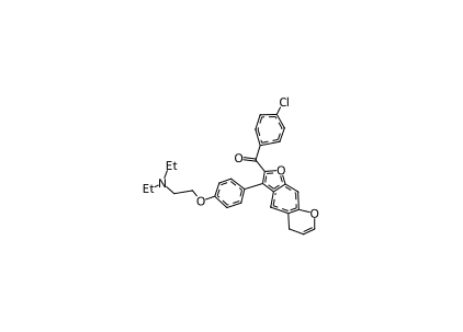 CCN(CC)CCOc1ccc(-c2c(C(=O)c3ccc(Cl)cc3)oc3cc4c(cc23)CC=CO4)cc1